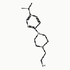 CC(C)c1ccc(N2CCN(CCS)CC2)nc1